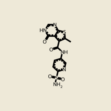 Cc1sc2nc[nH]c(=O)c2c1C(=O)Nc1ccc(S(N)(=O)=O)nc1